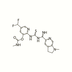 CNC(=O)Oc1cc(C(F)F)cnc1NC(=S)NC(=N)c1cc2c(cn1)N(C)CC2